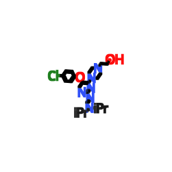 CC(C)N(/C=N/c1ncc(Oc2ccc(Cl)cc2)c(N2CCN(CCO)CC2)n1)C(C)C